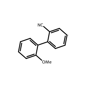 COc1ccccc1-c1cc[c]cc1C#N